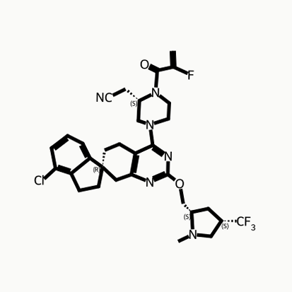 C=C(F)C(=O)N1CCN(c2nc(OC[C@@H]3C[C@H](C(F)(F)F)CN3C)nc3c2CC[C@@]2(CCc4c(Cl)cccc42)C3)C[C@@H]1CC#N